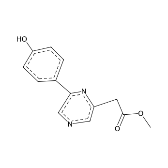 COC(=O)Cc1cncc(-c2ccc(O)cc2)n1